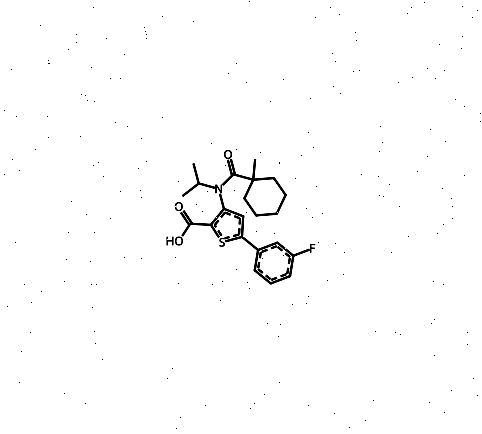 CC(C)N(C(=O)C1(C)CCCCC1)c1cc(-c2cccc(F)c2)sc1C(=O)O